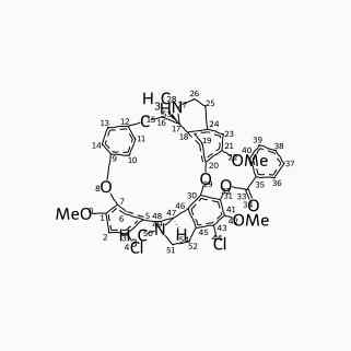 COc1cc(Cl)c2cc1Oc1ccc(cc1)CC[C@H]1c3cc(c(OC)cc3CCN1C)Oc1c(OC(=O)c3ccccc3)c(OC)c(Cl)c3c1[C@H](C2)N(C)CC3